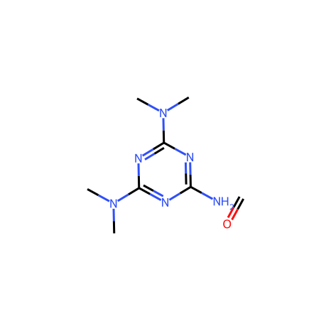 C=O.CN(C)c1nc(N)nc(N(C)C)n1